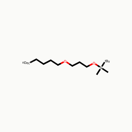 CCCCCCCCCCCCCCOCCCO[Si](C)(C)C(C)(C)C